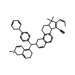 C#CC1=C(/C=C\C)C(C)(C)C2CCc3c(ccc4c3CC(N(C3=C5C=C[C@H](C)CC5=CCC3)c3ccc(C5C=CC=CC5)cc3)C=C4)C12